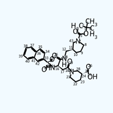 CC(C)(C)OC(=O)N1CCC[C@@H](CNC(=O)[C@@H](CC(=O)N2CCC[C@@H](C(=O)O)C2)NS(=O)(=O)c2ccc3ccccc3c2)C1